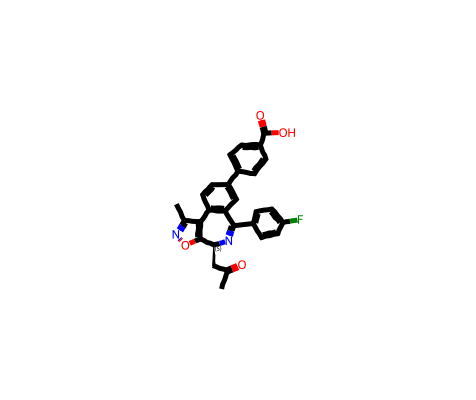 CC(=O)C[C@@H]1N=C(c2ccc(F)cc2)c2cc(-c3ccc(C(=O)O)cc3)ccc2-c2c(C)noc21